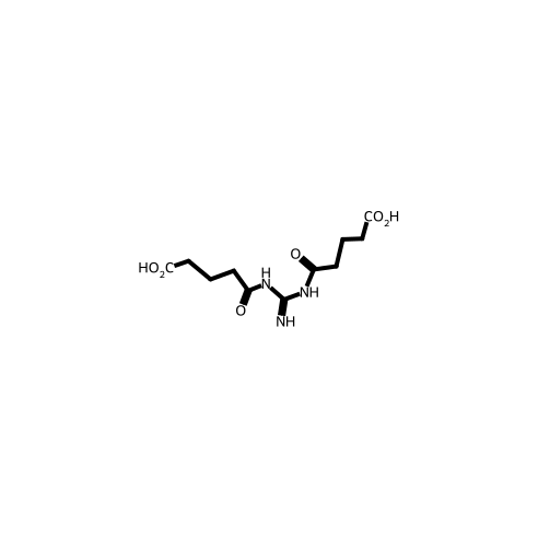 N=C(NC(=O)CCCC(=O)O)NC(=O)CCCC(=O)O